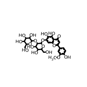 COc1cc(-c2cc(=O)c3c(O)c(O)c(OC4OC(CO)C(O)C(O)C4OC4OC(CO)C(O)C(O)C4O)cc3o2)ccc1O